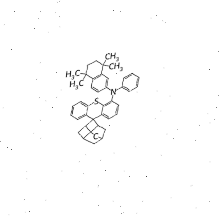 CC1(C)CCC(C)(C)c2cc(N(c3ccccc3)c3cccc4c3Sc3ccccc3C43C4CC5CC6CC3C64C5)ccc21